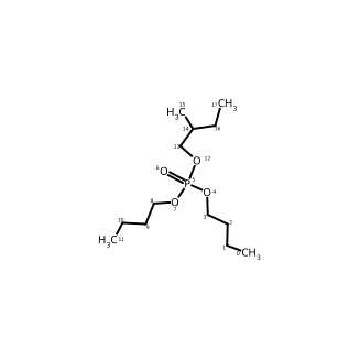 CCCCOP(=O)(OCCCC)OCC(C)CC